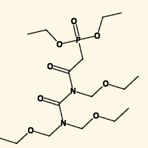 CCOCN(COCC)C(=O)N(COCC)C(=O)CP(=O)(OCC)OCC